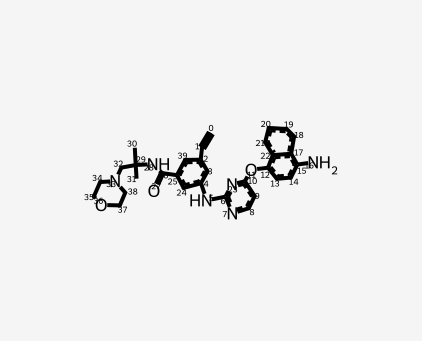 C#Cc1cc(Nc2nccc(Oc3ccc(N)c4ccccc34)n2)cc(C(=O)NC(C)(C)CN2CCOCC2)c1